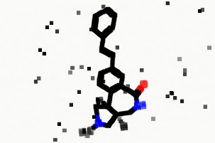 CN1C[C@@H]2CNC(=O)c3cc(/C=C/c4ccccc4)ccc3[C@H]2C1